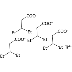 CCC(CC)CC(=O)[O-].CCC(CC)CC(=O)[O-].CCC(CC)CC(=O)[O-].CCC(CC)CC(=O)[O-].[Ti+4]